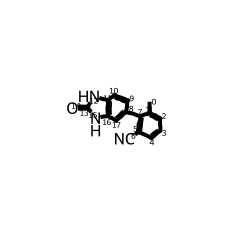 Cc1cccc(C#N)c1-c1ccc2[nH]c(=O)[nH]c2c1